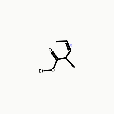 C/C=C\C(C)C(=O)OCC